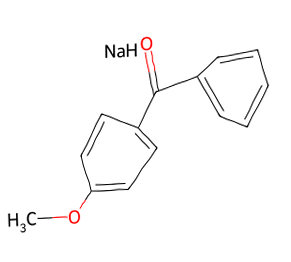 COc1ccc(C(=O)c2ccccc2)cc1.[NaH]